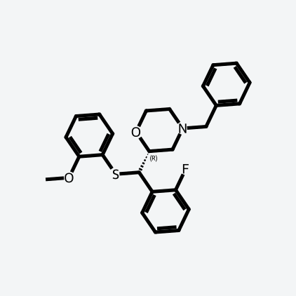 COc1ccccc1SC(c1ccccc1F)[C@H]1CN(Cc2ccccc2)CCO1